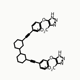 O=C(O)c1nn[nH]c1Oc1ccc(C#CC2CCCC(C3CCCC(C#Cc4cccc(Oc5[nH]nnc5C(=O)O)c4)C3)C2)cc1